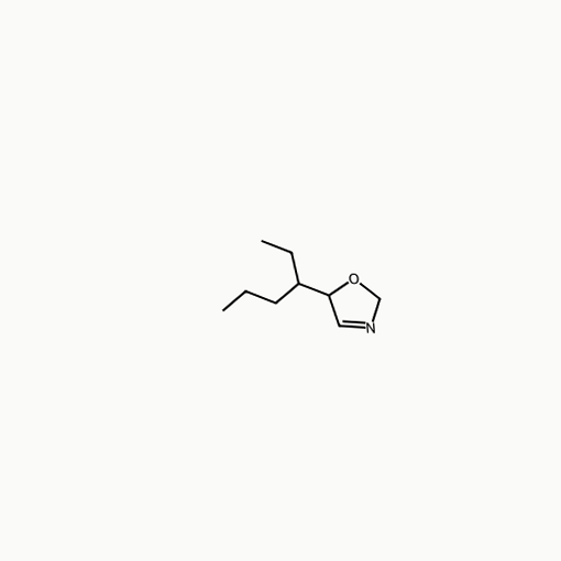 CCCC(CC)C1C=NCO1